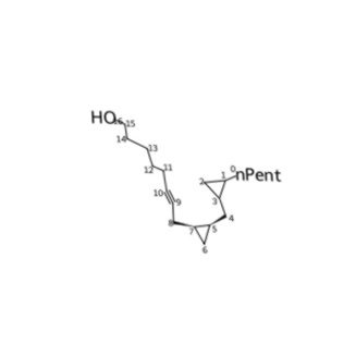 CCCCCC1CC1C[C@H]1C[C@H]1CC#CCCCCCO